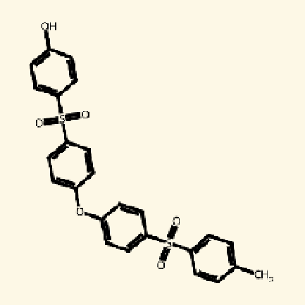 Cc1ccc(S(=O)(=O)c2ccc(Oc3ccc(S(=O)(=O)c4ccc(O)cc4)cc3)cc2)cc1